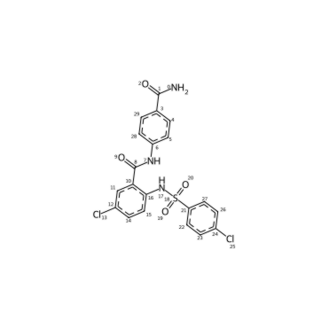 NC(=O)c1ccc(NC(=O)c2cc(Cl)ccc2NS(=O)(=O)c2ccc(Cl)cc2)cc1